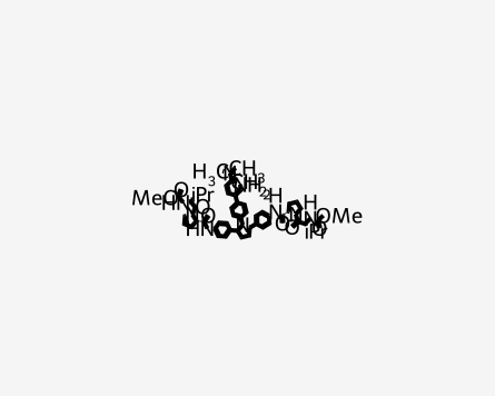 C=C(/C=C\C(=C/N)c1ccc(N2C(c3ccc(NC(=O)[C@@H]4CCCN4C(=O)[C@@H](NC(=O)OC)C(C)C)cc3)CCC2c2ccc(NC(=O)[C@@H]3CCCN3C(=O)[C@@H](NC(=O)OC)C(C)C)cc2)cc1)N(C)C